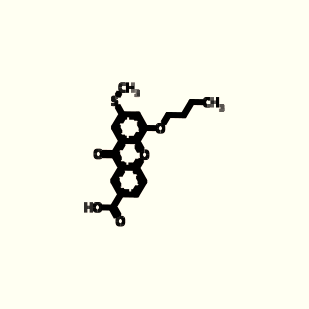 CCCCOc1cc(SC)cc2c(=O)c3cc(C(=O)O)ccc3oc12